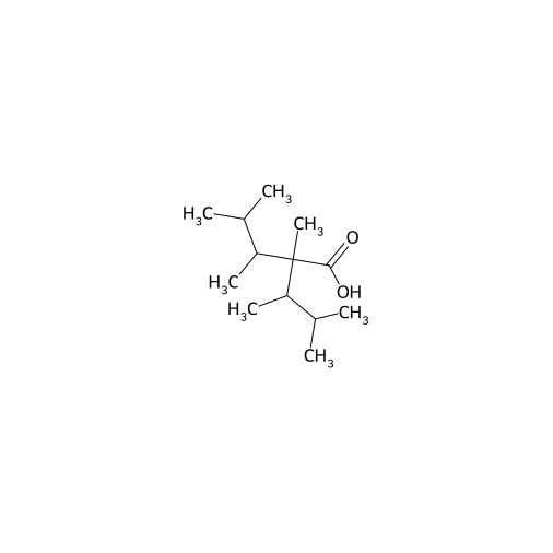 CC(C)C(C)C(C)(C(=O)O)C(C)C(C)C